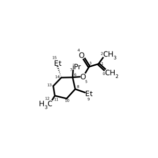 C=C(C)C(=O)OC1(C(C)C)C(CC)CC(C)C[C@@H]1CC